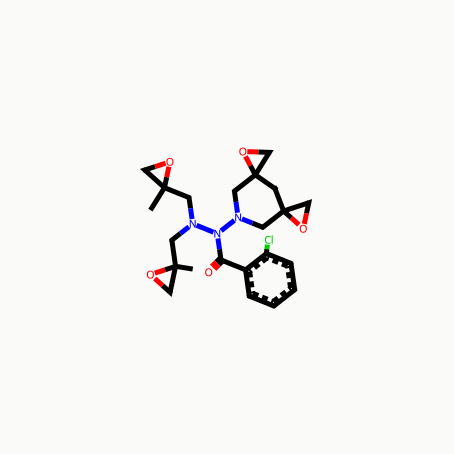 CC1(CN(CC2(C)CO2)N(C(=O)c2ccccc2Cl)N(CC2(C)CO2)CC2(C)CO2)CO1